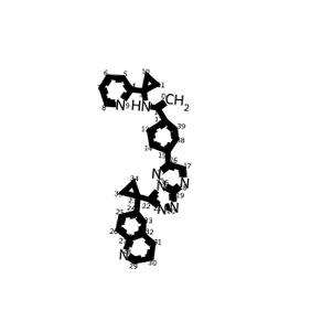 C=C(NC1(c2ccccn2)CC1)c1ccc(-c2cnc3nnc(C4(c5ccc6ncccc6c5)CC4)n3n2)cc1